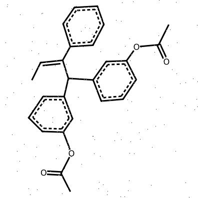 CC=C(c1ccccc1)C(c1cccc(OC(C)=O)c1)c1cccc(OC(C)=O)c1